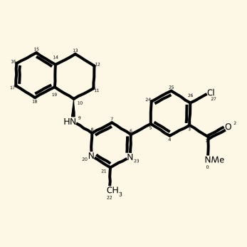 CNC(=O)c1cc(-c2cc(N[C@@H]3CCCc4ccccc43)nc(C)n2)ccc1Cl